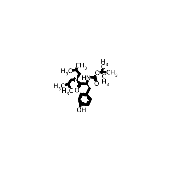 CC(C)CN(CC(C)C)C(=O)[C@H](Cc1ccc(O)cc1)NC(=O)OC(C)(C)C